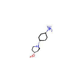 N[C@H]1CC[C@H](N2CCC(O)CC2)CC1